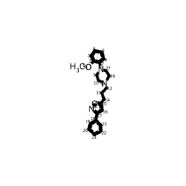 COc1ccccc1N1CCN(CCCc2cc(-c3ccccc3)no2)CC1